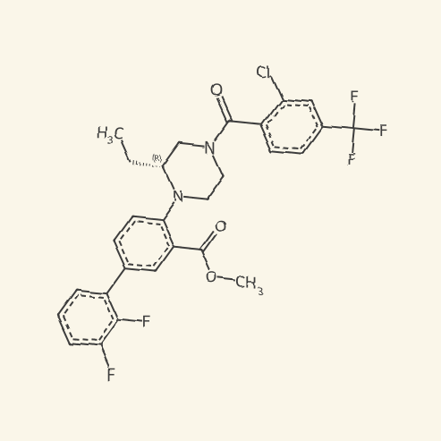 CC[C@@H]1CN(C(=O)c2ccc(C(F)(F)F)cc2Cl)CCN1c1ccc(-c2cccc(F)c2F)cc1C(=O)OC